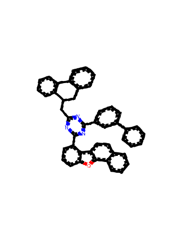 c1ccc(-c2cccc(-c3nc(CC4Cc5ccccc5-c5ccccc54)nc(-c4cccc5oc6c7ccccc7ccc6c45)n3)c2)cc1